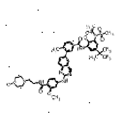 [CH2]CN(c1cc(C(C)(C)C)cc(NC(=O)c2ccc(C)c(-c3ccc4nc(Nc5ccc(C(=O)NCCN6CC[S+]([O-])CC6)c(OC)c5)ncc4c3)c2)c1OC)S(C)(=O)=O